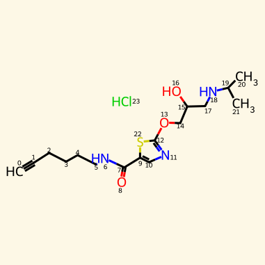 C#CCCCCNC(=O)c1cnc(OCC(O)CNC(C)C)s1.Cl